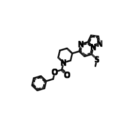 CSc1cc(C2CCCN(C(=O)OCc3ccccc3)C2)nc2ccnn12